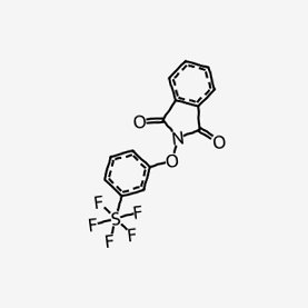 O=C1c2ccccc2C(=O)N1Oc1cccc(S(F)(F)(F)(F)F)c1